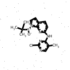 Cc1cnc(Cl)nc1Nc1ccc2ccn([S+]([O-])C(C)(C)C)c2n1